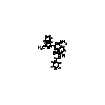 Cn1nc(CO[N+]23C[C@@H](CC[C@H]2C(N)=O)N(OCc2ccccc2)C3=O)c2c1C1CCC2C1